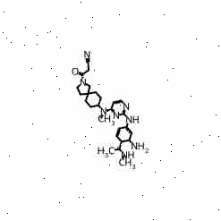 CNC(C)C1C=CC(Nc2nccc(N(C)C3CCC4(CC3)CCN(C(=O)CC#N)C4)n2)=CC1N